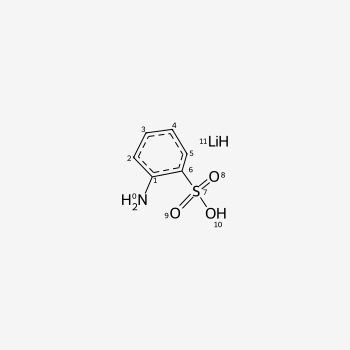 Nc1ccccc1S(=O)(=O)O.[LiH]